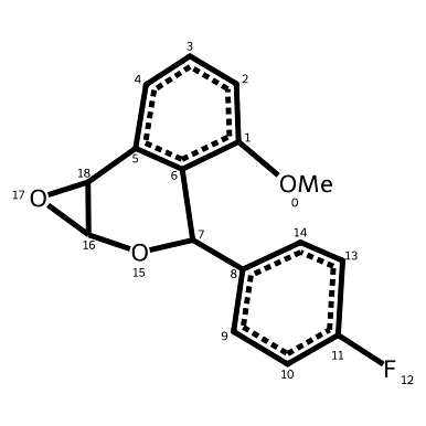 COc1cccc2c1C(c1ccc(F)cc1)OC1OC21